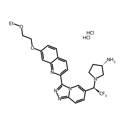 CCOCCOc1ccc2ccc(-c3nnc4ccc([C@@H](N5CC[C@H](N)C5)C(F)(F)F)cn34)nc2c1.Cl.Cl